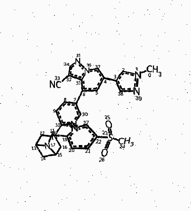 Cn1cc(-c2cc(-c3ccc(N4CC5CC(C4)N5Cc4ccc(S(C)(=O)=O)cn4)nc3)c3c(C#N)cnn3c2)cn1